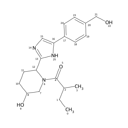 CCC(C)C(=O)N1CC(O)CCC1c1ncc(-c2ccc(CO)cc2)[nH]1